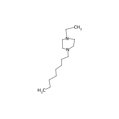 [CH2]CCCCCCCN1CCN(CC)CC1